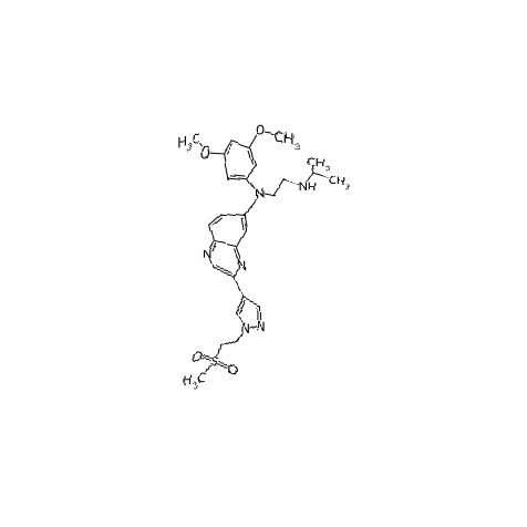 COc1cc(OC)cc(N(CCNC(C)C)c2ccc3ncc(-c4cnn(CCS(C)(=O)=O)c4)nc3c2)c1